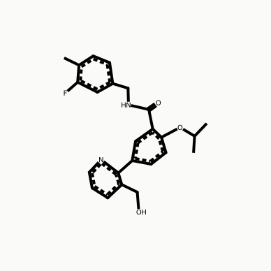 Cc1ccc(CNC(=O)c2cc(-c3ncccc3CO)ccc2OC(C)C)cc1F